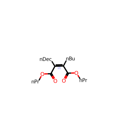 CCCCCCCCCC/C(C(=O)OCCC)=C(\CCCC)C(=O)OCCC